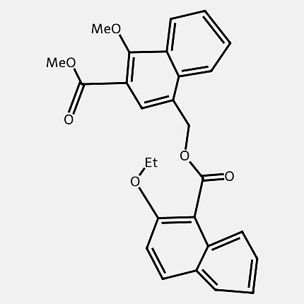 CCOc1ccc2ccccc2c1C(=O)OCc1cc(C(=O)OC)c(OC)c2ccccc12